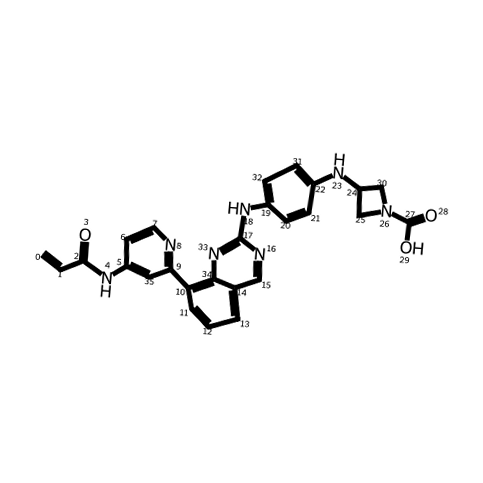 C=CC(=O)Nc1ccnc(-c2cccc3cnc(Nc4ccc(NC5CN(C(=O)O)C5)cc4)nc23)c1